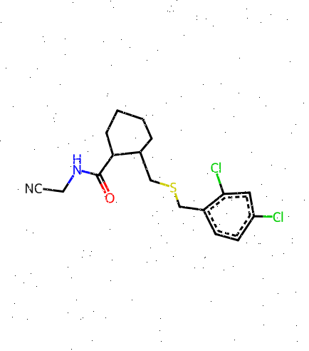 N#CCNC(=O)C1CCCCC1CSCc1ccc(Cl)cc1Cl